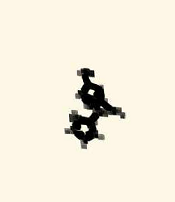 CC(C)(C)C1C2C(N)=NN1N2Nc1nnn[nH]1